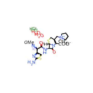 CO/N=C(\C(=O)NC1C(=O)N2C(C(=O)[O-])=C(C[N+]3(C)CCCC3)CS[C@@H]12)c1csc(N)n1.Cl.Cl.O.O